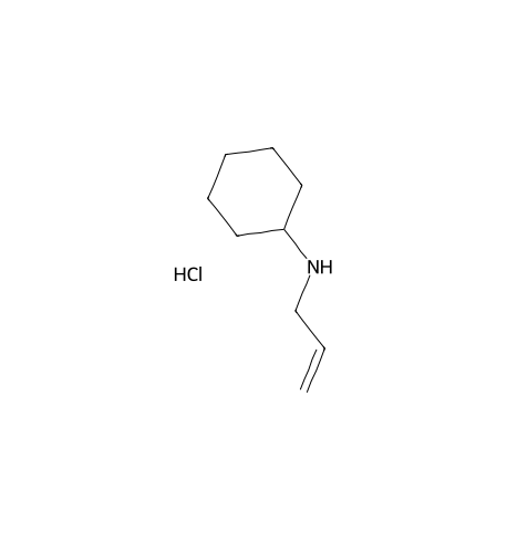 C=CCNC1CCCCC1.Cl